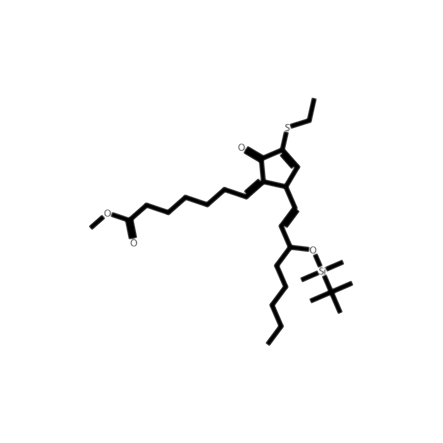 CCCCCC(C=CC1C=C(SCC)C(=O)C1=CCCCCCC(=O)OC)O[Si](C)(C)C(C)(C)C